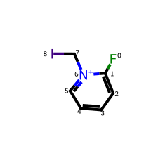 Fc1cccc[n+]1CI